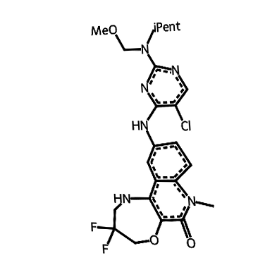 CCCC(C)N(COC)c1ncc(Cl)c(Nc2ccc3c(c2)c2c(c(=O)n3C)OCC(F)(F)CN2)n1